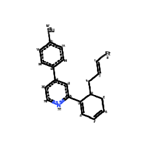 CCC=CCC1CC=CC=C1c1cc(-c2ccc(C(C)(C)C)cc2)ccn1